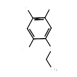 Cc1cc(OCC#N)c(C=O)cc1F